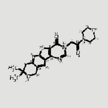 CC1(C)Cc2nc3sc4c(=O)n(CC(=O)N5CCOCC5)cnc4c3cc2CO1